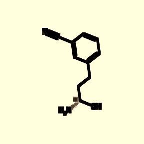 N#Cc1cccc(CC[C@@H](N)O)c1